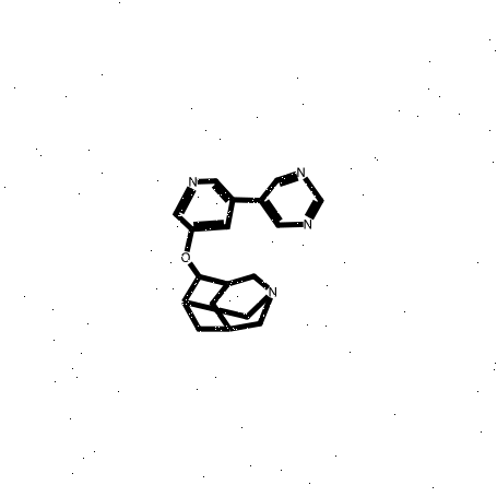 c1ncc(-c2cncc(OC3C4CC5CC3CN(C5)C4)c2)cn1